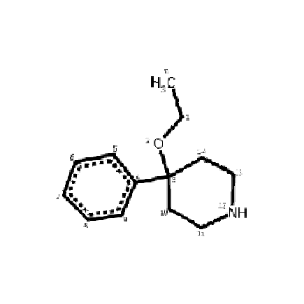 CCOC1(c2ccccc2)CCNCC1